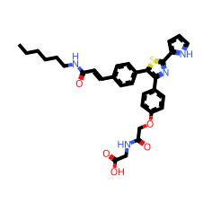 CCCCCCNC(=O)/C=C/c1ccc(-c2sc(-c3ccc[nH]3)nc2-c2ccc(OCC(=O)NCC(=O)O)cc2)cc1